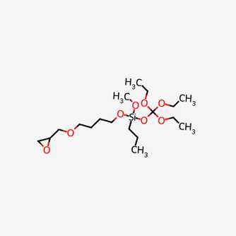 CCC[Si](OC)(OCCCCOCC1CO1)OC(OCC)(OCC)OCC